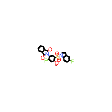 COc1cc(F)c(N2C(=O)c3ccccc3C2=O)cc1S(=O)(=O)n1ccc2cc(F)ccc21